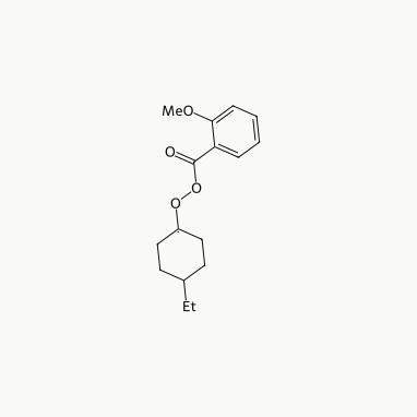 CCC1CC[C](OOC(=O)c2ccccc2OC)CC1